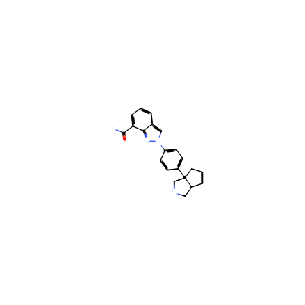 NC(=O)c1cccc2cn(-c3ccc(C45CCCC4CNC5)cc3)nc12